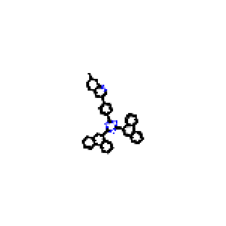 CC1C=Cc2cc(-c3ccc(-c4nc(-c5cc6c(c7ccccc57)C=CCC6)nc(-c5cc6ccccc6c6ccccc56)n4)cc3)cnc2C1